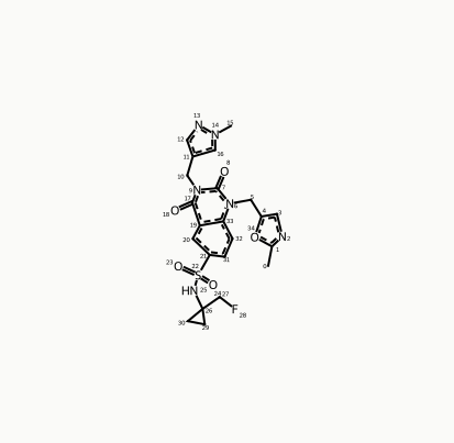 Cc1ncc(Cn2c(=O)n(Cc3cnn(C)c3)c(=O)c3cc(S(=O)(=O)NC4(CF)CC4)ccc32)o1